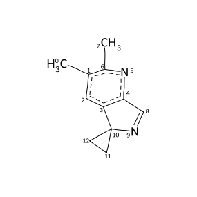 Cc1cc2c(nc1C)C=NC21CC1